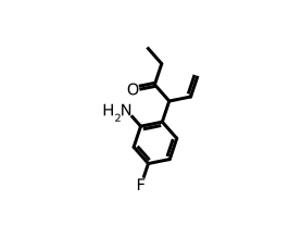 C=CC(C(=O)CC)c1ccc(F)cc1N